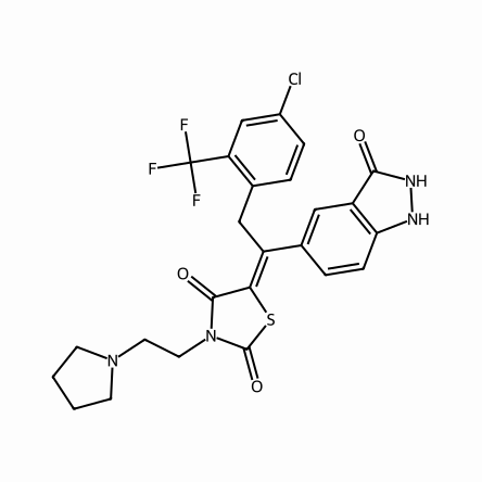 O=C1S/C(=C(/Cc2ccc(Cl)cc2C(F)(F)F)c2ccc3[nH][nH]c(=O)c3c2)C(=O)N1CCN1CCCC1